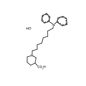 Cl.O=C(O)C1CCCN(CCCCCCCCN(c2ccccc2)c2ccccc2)C1